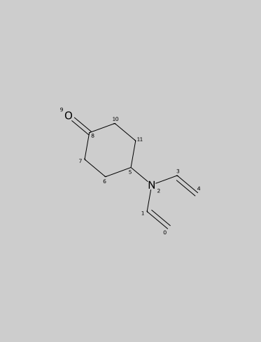 C=CN(C=C)C1CCC(=O)CC1